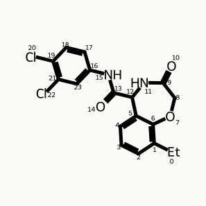 CCc1cccc2c1OCC(=O)NC2C(=O)Nc1ccc(Cl)c(Cl)c1